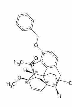 CO[C@]12C=C[C@@]3(CC1C(C)=O)[C@H]1Cc4ccc(OCc5ccccc5)c5c4C3(CCN1C)[C@H]2O5